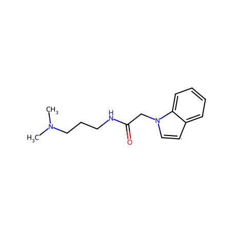 CN(C)CCCNC(=O)Cn1c[c]c2ccccc21